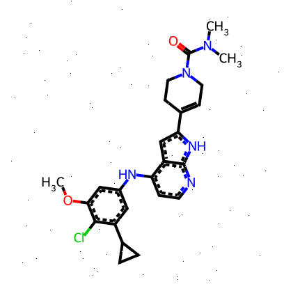 COc1cc(Nc2ccnc3[nH]c(C4=CCN(C(=O)N(C)C)CC4)cc23)cc(C2CC2)c1Cl